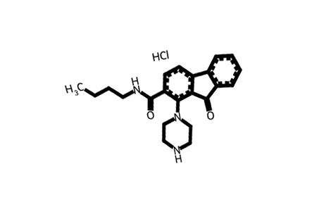 CCCCNC(=O)c1ccc2c(c1N1CCNCC1)C(=O)c1ccccc1-2.Cl